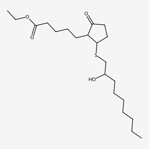 CCCCCCCC(O)CSC1CCC(=O)C1CCCCC(=O)OCC